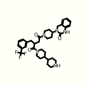 O=C(CC(Cc1cccc(C(F)(F)F)c1)C(=O)N1CCC(C2CCNCC2)CC1)N1CCC(N2Cc3ccccc3NC2=O)CC1